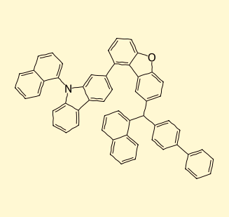 c1ccc(-c2ccc(C(c3ccc4oc5cccc(-c6ccc7c8ccccc8n(-c8cccc9ccccc89)c7c6)c5c4c3)c3cccc4ccccc34)cc2)cc1